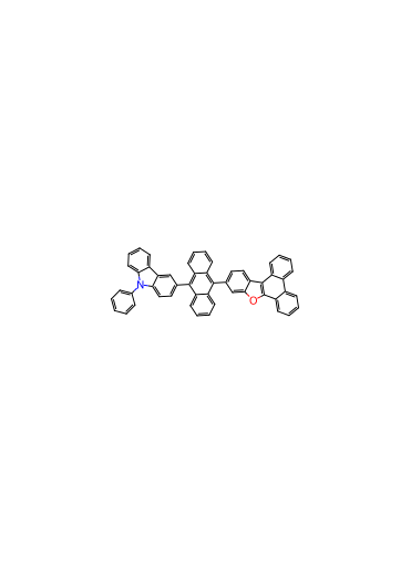 c1ccc(-n2c3ccccc3c3cc(-c4c5ccccc5c(-c5ccc6c(c5)oc5c7ccccc7c7ccccc7c65)c5ccccc45)ccc32)cc1